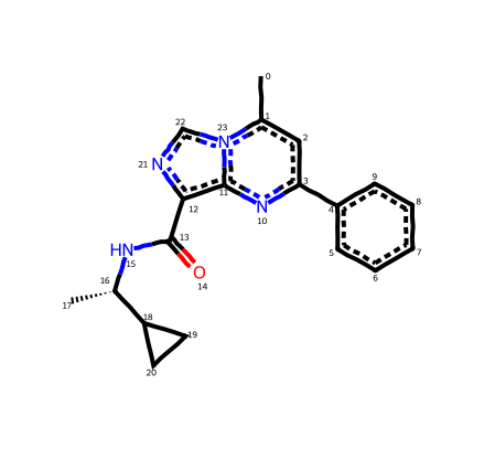 Cc1cc(-c2ccccc2)nc2c(C(=O)N[C@@H](C)C3CC3)ncn12